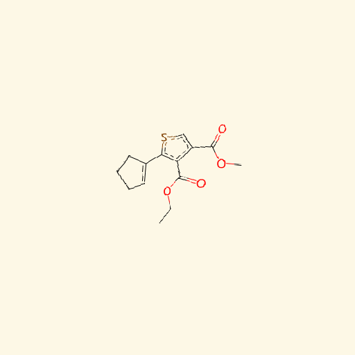 CCOC(=O)c1c(C(=O)OC)csc1C1=CCCC1